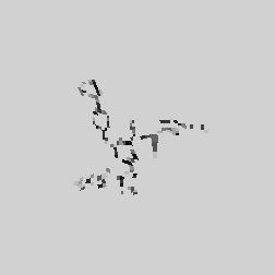 COC[C@H](C)Oc1cc(Oc2ccc(-c3ncon3)cc2)cc(C(=O)Nc2ccn(C)n2)c1